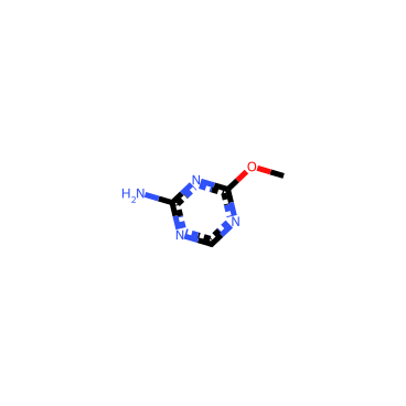 COc1ncnc(N)n1